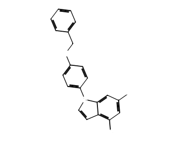 Oc1cc(F)cc2c1ccn2-c1ccc(OCc2ccccc2)cc1